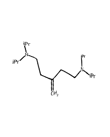 C=C(CCN(C(C)C)C(C)C)CCN(C(C)C)C(C)C